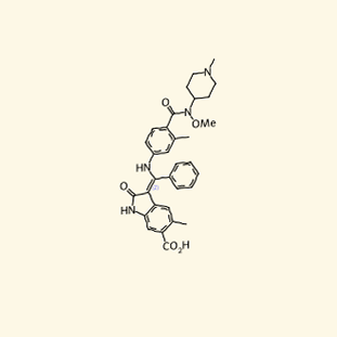 CON(C(=O)c1ccc(N/C(=C2\C(=O)Nc3cc(C(=O)O)c(C)cc32)c2ccccc2)cc1C)C1CCN(C)CC1